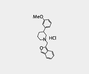 COc1cccc(C2CCCN(Cc3occ4ccccc34)C2)c1.Cl